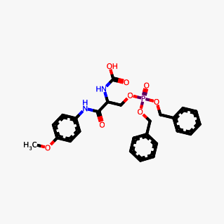 COc1ccc(NC(=O)C(COP(=O)(OCc2ccccc2)OCc2ccccc2)NC(=O)O)cc1